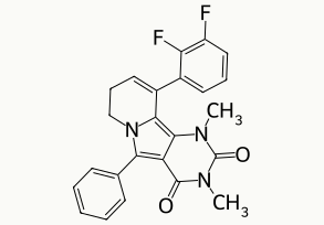 Cn1c(=O)c2c(-c3ccccc3)n3c(c2n(C)c1=O)C(c1cccc(F)c1F)=CCC3